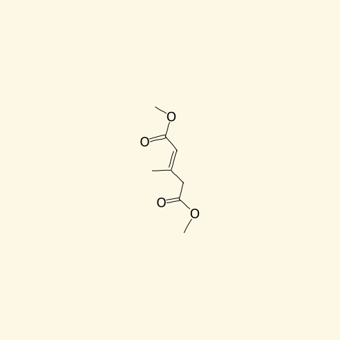 COC(=O)/C=C(\C)CC(=O)OC